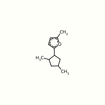 Cc1ccc(C2CC(C)CC2C)o1